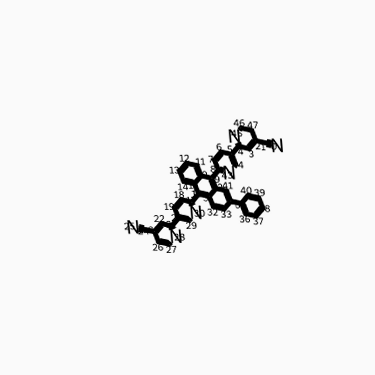 N#CC1=CC(c2ccc(-c3c4ccccc4c(-c4ccc(-c5cc(C#N)ccn5)cn4)c4ccc(-c5ccccc5)cc34)nc2)=NCC1